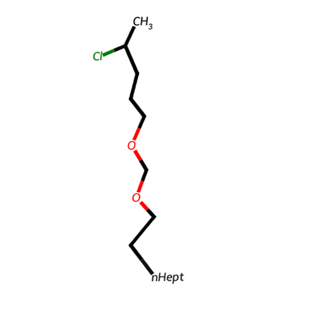 CCCCCCCCCOCOCCCC(C)Cl